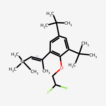 C/C(=C\[Si](C)(C)C)c1cc(C(C)(C)C)cc(C(C)(C)C)c1OCC(F)F